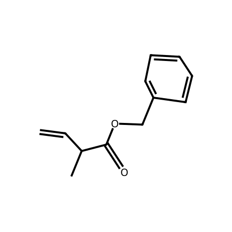 C=CC(C)C(=O)OCc1ccccc1